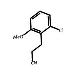 COc1cccc(Cl)c1CCC#N